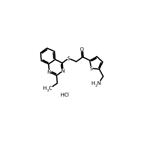 CCc1nc(SCC(=O)c2ccc(CN)s2)c2ccccc2n1.Cl